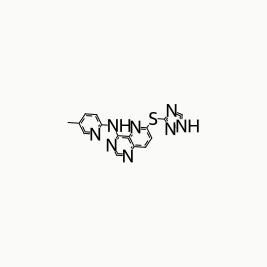 Cc1ccc(Nc2ncnc3ccc(Sc4nc[nH]n4)nc23)nc1